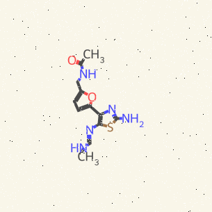 CNC=Nc1sc(N)nc1-c1ccc(CNC(C)=O)o1